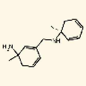 CC1(N)C=C(CN[C@]2(C)C=CC=CC2)C=CC1